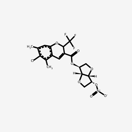 Cc1cc2c(c(C)c1Cl)C=C(C(=O)O[C@H]1CO[C@H]3[C@@H]1OC[C@H]3O[N+](=O)[O-])C(C(F)(F)F)O2